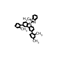 Cc1ccc(-c2ccc3c(c2)c2cc(-c4ccccc4C)ccc2n3-c2nc3ccccc3n2C)c(C)c1